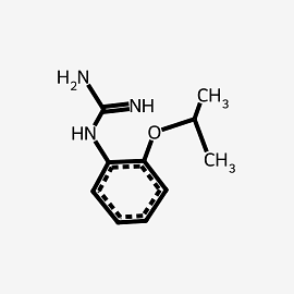 CC(C)Oc1ccccc1NC(=N)N